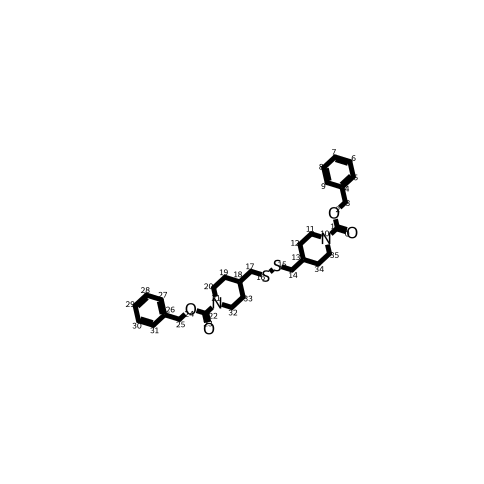 O=C(OCc1ccccc1)N1CCC(CSSCC2CCN(C(=O)OCc3ccccc3)CC2)CC1